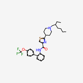 CCCCC(CC)CN1CCC(c2nc(C(=O)Nc3ccccc3-c3ccc(OC(F)(F)F)cc3)cs2)CC1